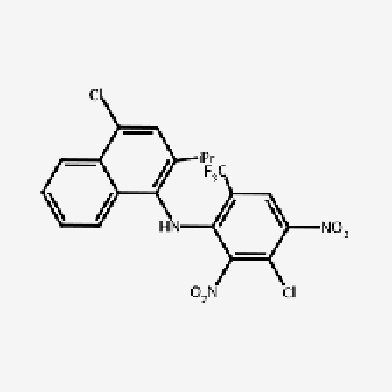 CC(C)c1cc(Cl)c2ccccc2c1Nc1c(C(F)(F)F)cc([N+](=O)[O-])c(Cl)c1[N+](=O)[O-]